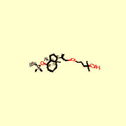 C=C(COCCCC(C)(C)O)[C@@H]1CC[C@@H]2[C@H](O[Si](C)(C)C(C)(C)C)CCC[C@]21C